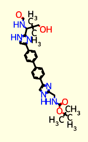 CC(C)(C)OC(=O)NCc1nc(-c2ccc(-c3ccc(-c4c[nH]c(C(NC=O)C(C)(C)CO)n4)cc3)cc2)c[nH]1